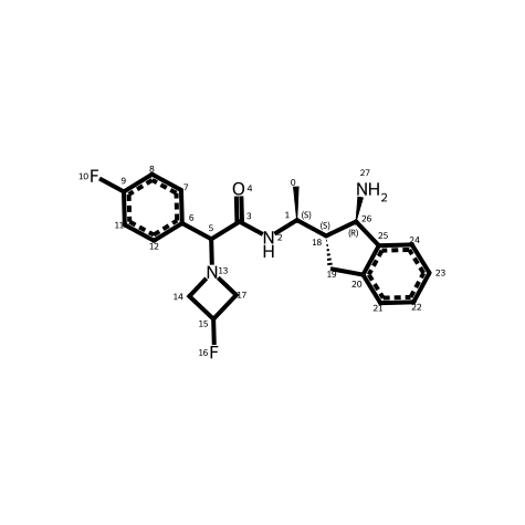 C[C@H](NC(=O)C(c1ccc(F)cc1)N1CC(F)C1)[C@H]1Cc2ccccc2[C@@H]1N